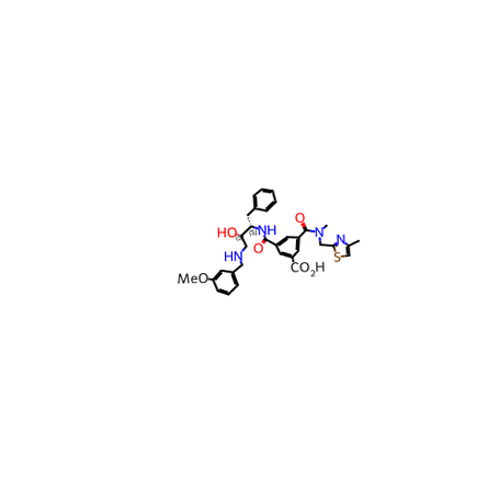 COc1cccc(CNC[C@H](O)[C@H](Cc2ccccc2)NC(=O)c2cc(C(=O)O)cc(C(=O)N(C)Cc3nc(C)cs3)c2)c1